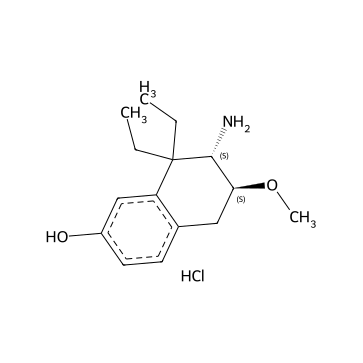 CCC1(CC)c2cc(O)ccc2C[C@H](OC)[C@H]1N.Cl